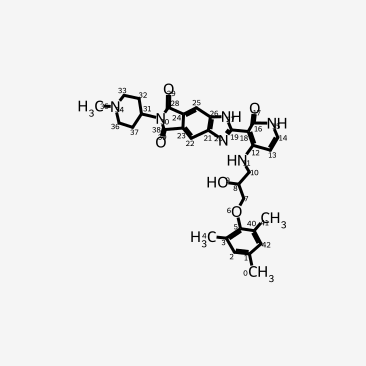 Cc1cc(C)c(OCC(O)CNc2cc[nH]c(=O)c2-c2nc3cc4c(cc3[nH]2)C(=O)N(C2CCN(C)CC2)C4=O)c(C)c1